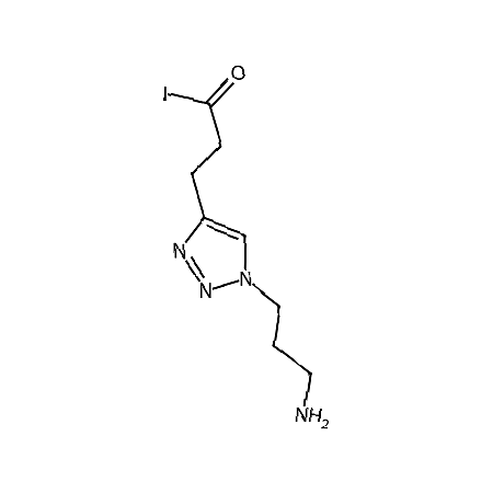 NCCCn1cc(CCC(=O)I)nn1